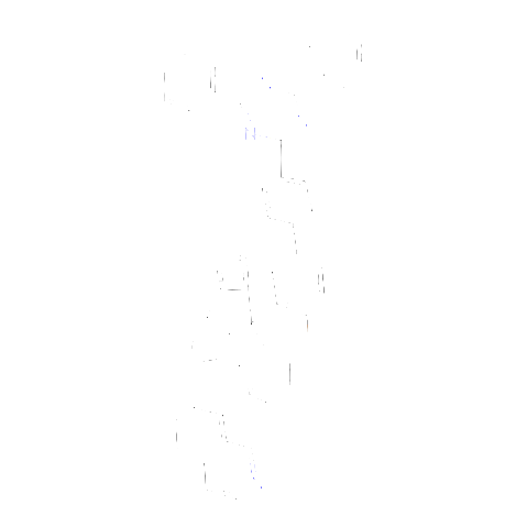 c1ccc(-c2nc(-c3ccccc3)nc(-c3ccc(-c4ccc5c(c4)C4(c6cc(-c7cccc8ccncc78)ccc6S5)c5ccccc5-c5ccccc54)cc3)n2)cc1